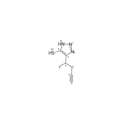 C#CCC(C)c1nn[nH]c1S